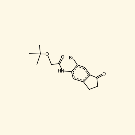 CC(C)(C)OCC(=O)Nc1cc2c(cc1Br)C(=O)CC2